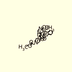 CCOC(=O)CN1CCN(S(=O)(=O)N(c2cc(OC)ncn2)S(=O)(=O)Cc2cccc(F)c2F)CC1